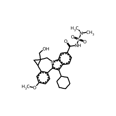 COc1ccc2c(c1)C1CC1(CO)Cn1c-2c(C2CCCCC2)c2ccc(C(=O)NS(=O)(=O)N(C)C)cc21